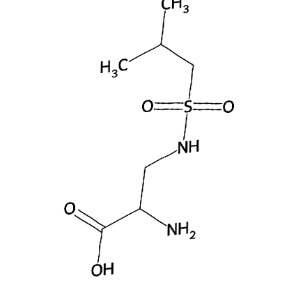 CC(C)CS(=O)(=O)NCC(N)C(=O)O